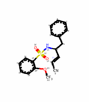 N#C/C=C/C(Cc1ccccc1)NS(=O)(=O)c1ccccc1OC(F)(F)F